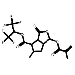 C=C(C)C(=O)OC1OC(=O)C2C1CC(C)C2C(=O)OC(C(F)(F)F)C(F)(F)F